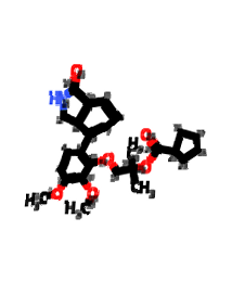 COc1ccc(-c2cccc3c2CNC3=O)c(OCC(C)(C)OC(=O)C2CCCC2)c1OC